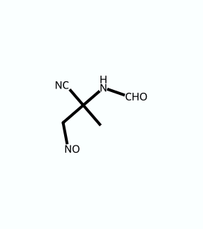 CC(C#N)(CN=O)NC=O